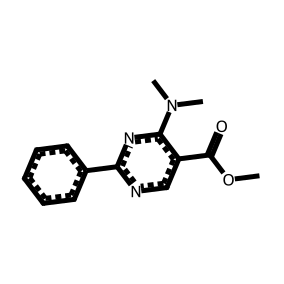 COC(=O)c1cnc(-c2ccccc2)nc1N(C)C